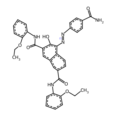 CCOc1ccccc1NC(=O)c1ccc2c(/N=N/c3ccc(C(N)=O)cc3)c(O)c(C(=O)Nc3ccccc3OCC)cc2c1